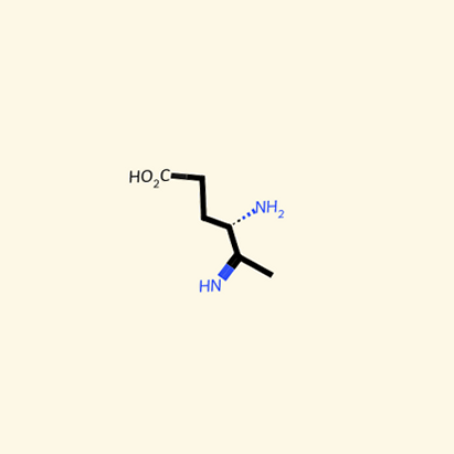 CC(=N)[C@@H](N)CCC(=O)O